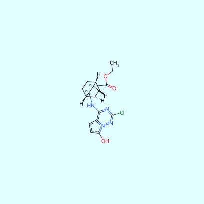 CCOC(=O)[C@H]1[C@H]2CC[C@H](CC2)[C@@H]1Nc1nc(Cl)nn2c(O)ccc12